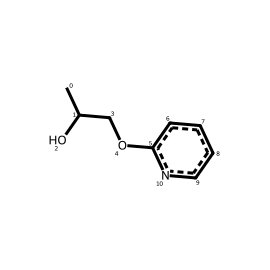 CC(O)COc1ccccn1